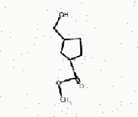 COC(=O)C1CCC(CO)C1